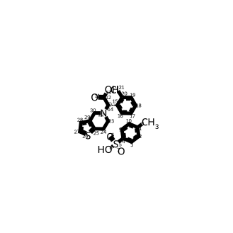 Cc1ccc(S(=O)(=O)O)cc1.O=C(O)[C@H](c1ccccc1Cl)N1CCc2sccc2C1